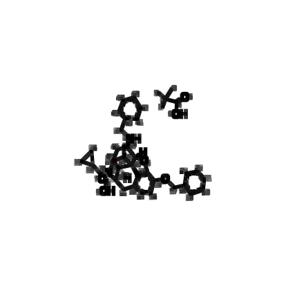 CC(C)(C)C(=O)O.O=C(O)[C@]12Cc3ccc(OCc4ccccc4)c4c3[C@@]3([C@H](F)CN1CC1CC1)[C@@H](O4)[C@H](NCc1ccccc1)CC[C@@H]32